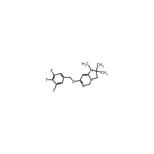 CN1C2=CC(OCc3cc(F)c(F)c(F)c3)=NCN2CC1(C)C